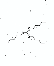 CCCCCSC(SCCCCC)SCCCCC